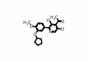 COc1ccc(-c2ncc(Cl)c(C(C)=O)c2Cl)cc1OC1CCCC1